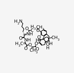 COc1ccc2c3c1O[C@H]1C(OC(=O)[C@H](C)OC(=O)[C@H](C)NC(=O)[C@H](CCCCN)NC(C)=O)=CC[C@@]4(O)[C@@H](C2)C(C)CC[C@]314